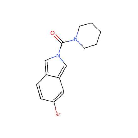 O=C(N1CCCCC1)n1cc2ccc(Br)cc2c1